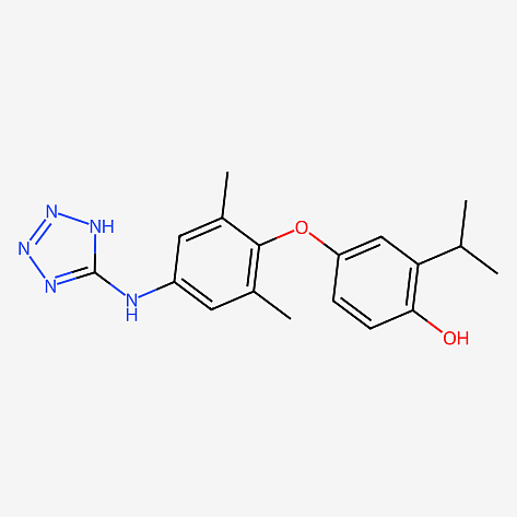 Cc1cc(Nc2nnn[nH]2)cc(C)c1Oc1ccc(O)c(C(C)C)c1